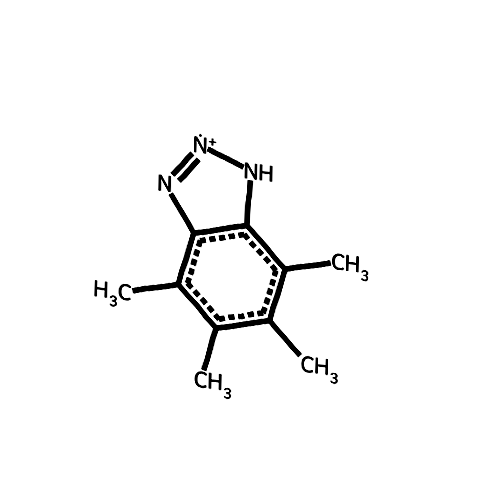 Cc1c(C)c(C)c2c(c1C)N=[N+]N2